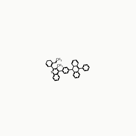 C=CC1=C(c2nc3ccccc3c(-c3ccc(C4c5ccccc5C(c5ccccc5)=C5C=CC=CC54)cc3)c2C)C=CCC1